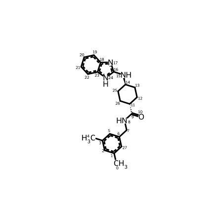 Cc1cc(C)cc(CNC(=O)[C@H]2CC[C@H](Nc3nc4ccccc4[nH]3)CC2)c1